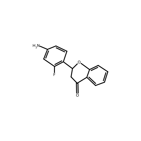 Nc1ccc(C2CC(=O)c3ccccc3O2)c(F)c1